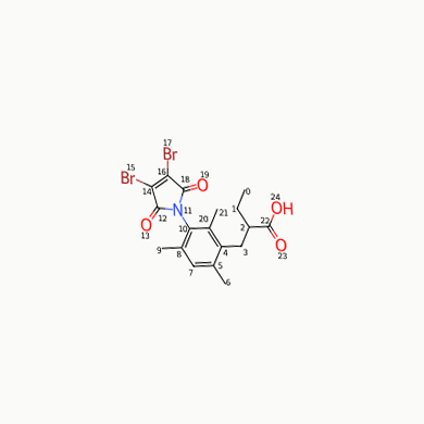 CCC(Cc1c(C)cc(C)c(N2C(=O)C(Br)=C(Br)C2=O)c1C)C(=O)O